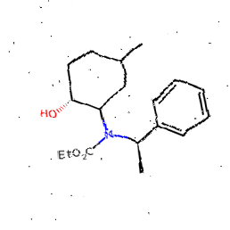 CCOC(=O)N(C1CC(C)CC[C@H]1O)[C@H](C)c1ccccc1